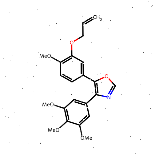 C=CCOc1cc(-c2ocnc2-c2cc(OC)c(OC)c(OC)c2)ccc1OC